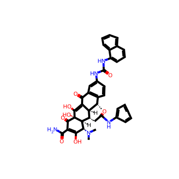 C[C@H]1c2ccc(NC(=O)Nc3cccc4ccccc34)cc2C(=O)C2=C(O)[C@]3(O)C(=O)C(C(N)=O)=C(O)[C@@H](N(C)C)[C@@H]3[C@@H](CC(=O)Nc3ccccc3)[C@@H]21